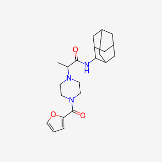 CC(C(=O)NC1C2CC3CC(C2)CC1C3)N1CCN(C(=O)c2ccco2)CC1